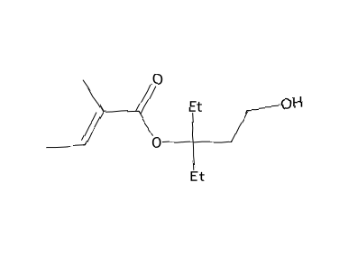 CC=C(C)C(=O)OC(CC)(CC)CCO